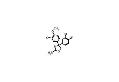 COc1ccc(C2(c3ccc(F)c(Br)c3)COC(N)=N2)cc1Cl